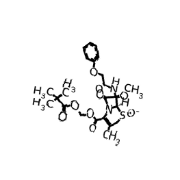 COC1(NC(=O)COc2ccccc2)C(=O)N2C(C(=O)OCOC(=O)C(C)(C)C)=C(C)C[S+]([O-])[C@@H]21